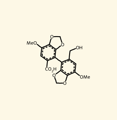 COc1cc(CO)c(-c2c(C(=O)O)cc(OC)c3c2OCO3)c2c1OCO2